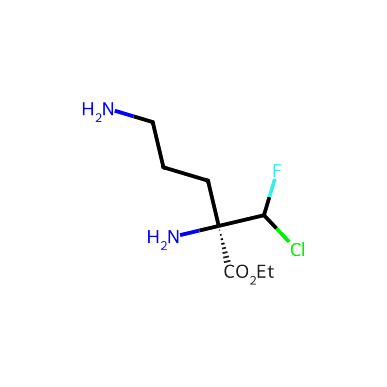 CCOC(=O)[C@](N)(CCCN)C(F)Cl